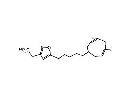 O=C(O)Cc1cc(CCCCCC2CC=C(F)C/C=C\C2)on1